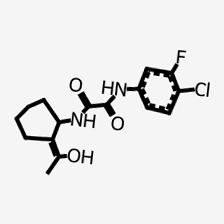 CC(O)=C1CCCCC1NC(=O)C(=O)Nc1ccc(Cl)c(F)c1